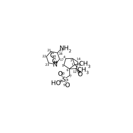 CC1(C)C2CCC1(CS(=O)(=O)O)C(=O)C2.NC1CN2CCC1CC2